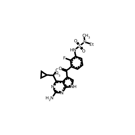 CCN(C)S(=O)(=O)Nc1cccc(C(=O)c2c[nH]c3nc(N)nc(C(C)C4CC4)c23)c1F